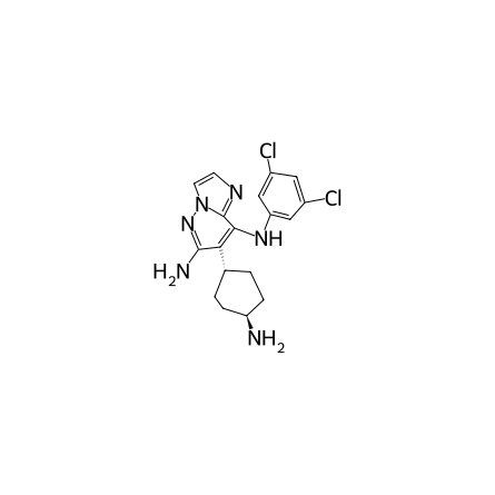 Nc1nn2ccnc2c(Nc2cc(Cl)cc(Cl)c2)c1[C@H]1CC[C@H](N)CC1